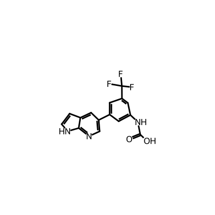 O=C(O)Nc1cc(-c2cnc3[nH]ccc3c2)cc(C(F)(F)F)c1